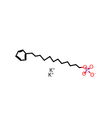 O=P([O-])([O-])OCCCCCCCCCCCCc1ccccc1.[K+].[K+]